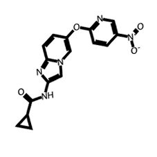 O=C(Nc1cn2cc(Oc3ccc([N+](=O)[O-])cn3)ccc2n1)C1CC1